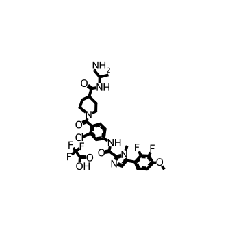 COc1ccc(-c2cnc(C(=O)Nc3ccc(C(=O)N4CCC(C(=O)NC(C)CN)CC4)c(Cl)c3)n2C)c(F)c1F.O=C(O)C(F)(F)F